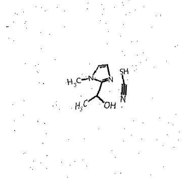 CC(O)c1nccn1C.N#CS